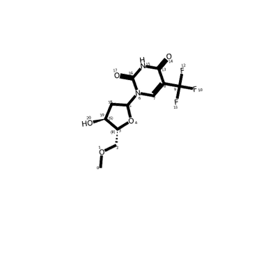 COC[C@H]1OC(n2cc(C(F)(F)F)c(=O)[nH]c2=O)C[C@@H]1O